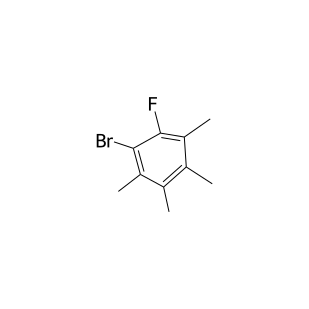 Cc1c(C)c(C)c(Br)c(F)c1C